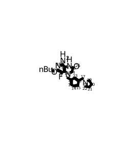 CCCCOc1nc(N)c2c(c1F)N(Cc1cccc(CN3CCCC3)c1)CC(=O)N2